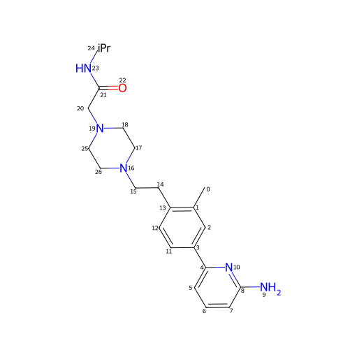 Cc1cc(-c2cccc(N)n2)ccc1CCN1CCN(CC(=O)NC(C)C)CC1